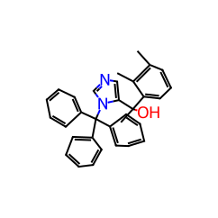 Cc1cccc(C(C)(O)c2cncn2C(c2ccccc2)(c2ccccc2)c2ccccc2)c1C